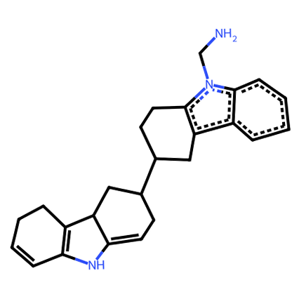 NCn1c2c(c3ccccc31)CC(C1CC=C3NC4=C(CCC=C4)C3C1)CC2